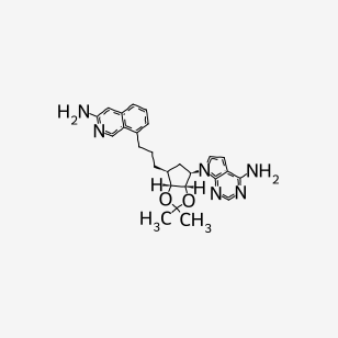 CC1(C)O[C@@H]2[C@@H](CCCc3cccc4cc(N)ncc34)C[C@@H](n3ccc4c(N)ncnc43)[C@@H]2O1